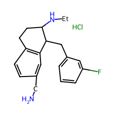 CCNC1CCc2ccc(CN)cc2C1Cc1cccc(F)c1.Cl